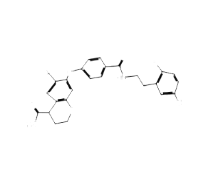 O=C(NCCc1cc(Cl)ccc1F)c1ccc(Oc2cc3c(cc2Cl)C(C(=O)O)CCO3)cc1